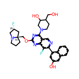 OCC1CCN(c2nc(OC[C@@]34CCCN3C[C@H](F)C4)nc3c(F)c(-c4cc(O)cc5ccccc45)ncc23)CC1O